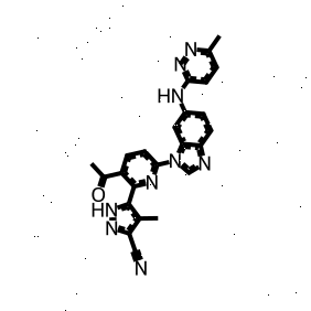 CC(=O)c1ccc(-n2cnc3ccc(Nc4ccc(C)nn4)cc32)nc1-c1[nH]nc(C#N)c1C